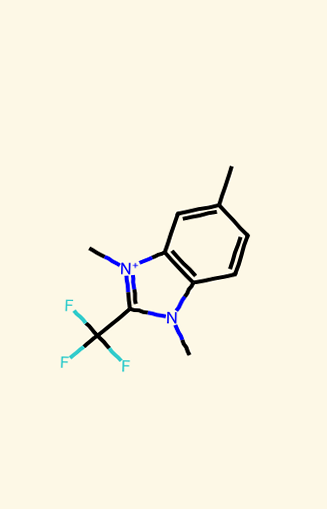 Cc1ccc2c(c1)[n+](C)c(C(F)(F)F)n2C